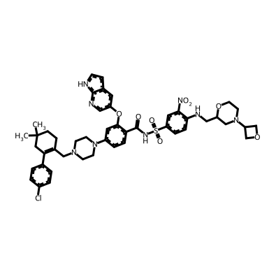 CC1(C)CCC(CN2CCN(c3ccc(C(=O)NS(=O)(=O)c4ccc(NCC5CN(C6COC6)CCO5)c([N+](=O)[O-])c4)c(Oc4cnc5[nH]ccc5c4)c3)CC2)=C(c2ccc(Cl)cc2)C1